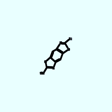 CCc1nc2cc3oc(C(C)(C)C)nc3cc2o1